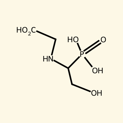 O=C(O)CNC(CO)P(=O)(O)O